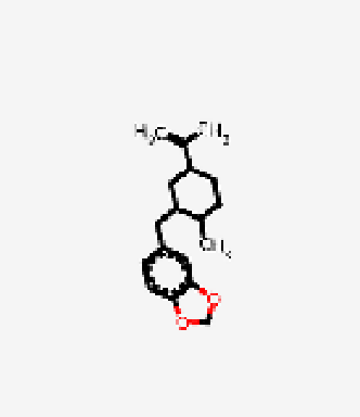 C=C(C)C1CCC(C)[C](Cc2ccc3c(c2)OCO3)C1